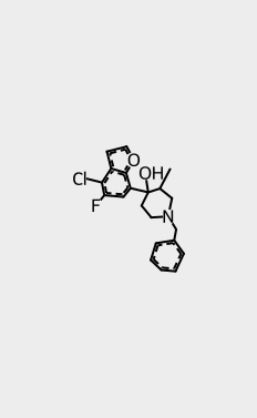 CC1CN(Cc2ccccc2)CCC1(O)c1cc(F)c(Cl)c2ccoc12